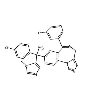 Cn1cncc1C(N)(c1ccc(Cl)cc1)c1ccc2c(c1)C(c1cccc(Cl)c1)=NCc1nnnn1-2